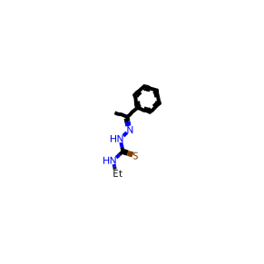 CCNC(=S)NN=C(C)c1ccccc1